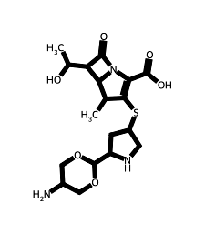 CC(O)C1C(=O)N2C(C(=O)O)=C(SC3CNC(C4OCC(N)CO4)C3)C(C)C12